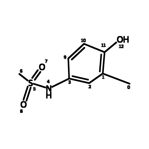 Cc1cc(NS(C)(=O)=O)ccc1O